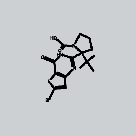 CC(C)(C)[C@]1(c2nc3cc(Br)sc3c(=O)[nH]2)CCCN1C(=O)O